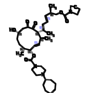 C/C(=C\C=C\[C@@H](C)COC(=O)N1CCCC1)[C@H]1C(=O)C(=O)C[C@@H](O)CC[C@@H](C)[C@@H](OC(=O)N2CCN(C3CCCCCC3)CC2)/C=C/[C@@H]1C